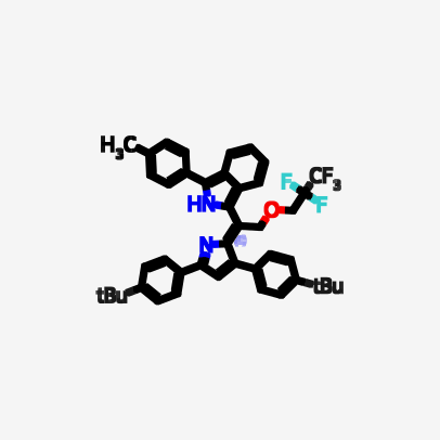 Cc1ccc(-c2[nH]c(/C(COCC(F)(F)C(F)(F)F)=C3\N=C(c4ccc(C(C)(C)C)cc4)C=C3c3ccc(C(C)(C)C)cc3)c3ccccc23)cc1